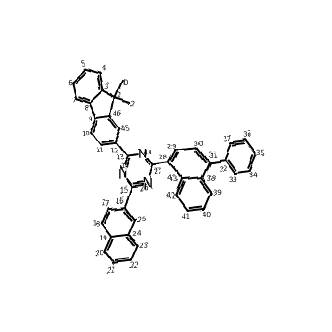 CC1(C)c2ccccc2-c2ccc(-c3nc(-c4ccc5ccccc5c4)nc(-c4ccc(-c5ccccc5)c5ccccc45)n3)cc21